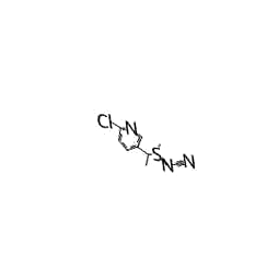 CC(c1ccc(Cl)nc1)/S(C)=N/C#N